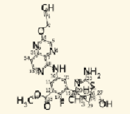 C#CCOc1cnc2c(Nc3cc(C(=O)OC)c(F)c([C@@]4(C)N=C(N)S[C@@]5(CO)C[C@H]54)c3)nccc2n1